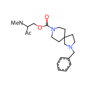 CNC(COC(=O)N1CCC2(CCN(Cc3ccccc3)C2)CC1)C(C)=O